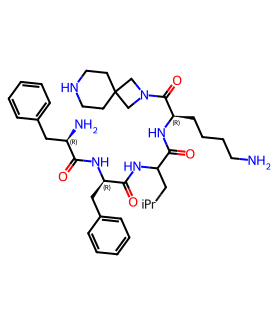 CC(C)CC(NC(=O)[C@@H](Cc1ccccc1)NC(=O)[C@H](N)Cc1ccccc1)C(=O)N[C@H](CCCCN)C(=O)N1CC2(CCNCC2)C1